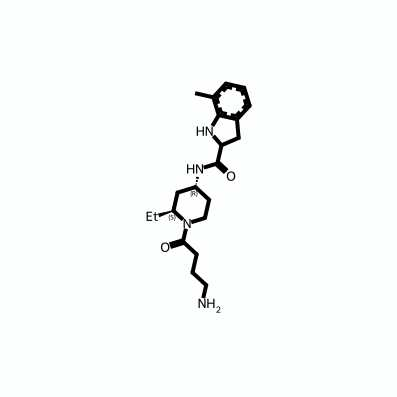 CC[C@H]1C[C@H](NC(=O)C2Cc3cccc(C)c3N2)CCN1C(=O)CCCN